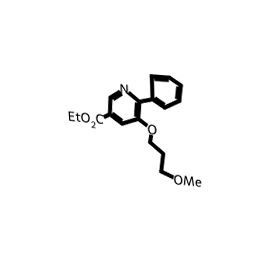 CCOC(=O)c1cnc(-c2ccccc2)c(OCCCOC)c1